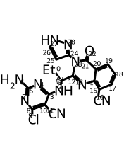 CC[C@H](Nc1nc(N)nc(Cl)c1C#N)c1nc2c(C#N)cccc2c(=O)n1-c1cc[nH]n1